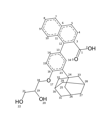 O=C(O)c1ccc2ccccc2c1-c1ccc(OCC(O)CO)c(C23CC4CC(CC(C4)C2)C3)c1